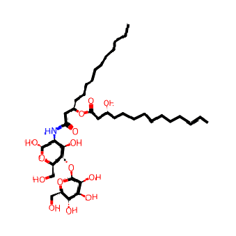 CCCCCCCCCCC[C@@H](O)CC(=O)O[C@H](CCCCCCCCCCC)CC(=O)N[C@H]1[C@@H](O)[C@H](O[C@@H]2O[C@H](CO)[C@@H](O)[C@H](O)[C@@H]2O)[C@@H](CO)O[C@@H]1O